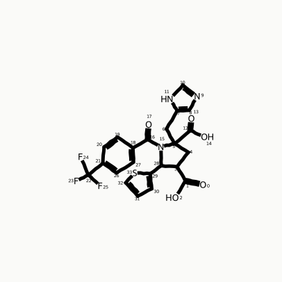 O=C(O)C1CC(Cc2cnc[nH]2)(C(=O)O)N(C(=O)c2ccc(C(F)(F)F)cc2)C1c1cccs1